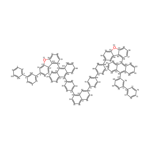 c1ccc(-c2cccc(-c3ccc4c(c3)oc3cccc(-c5c6ccccc6c(-c6ccc(-c7cccc8ccc(-c9ccc(-c%10ccc(-c%11ccc%12oc%13cccc(-c%14c%15ccccc%15c(-c%15cccc(-c%16ccccc%16)c%15)c%15ccccc%14%15)c%13c%12c%11)cc%10)cc9)cc78)cc6)c6ccccc56)c34)c2)cc1